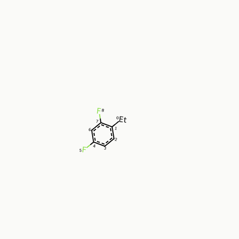 [CH2]Cc1ccc(F)cc1F